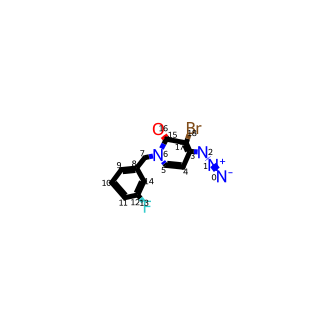 [N-]=[N+]=Nc1ccn(Cc2cccc(F)c2)c(=O)c1Br